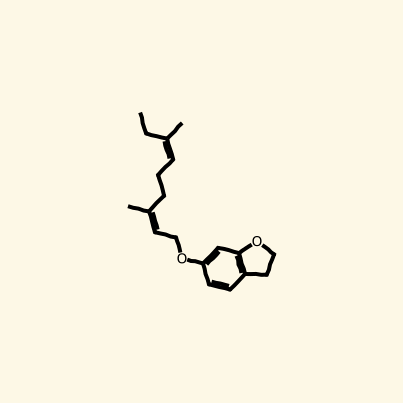 CCC(C)=CCCC(C)=CCOc1ccc2c(c1)OCC2